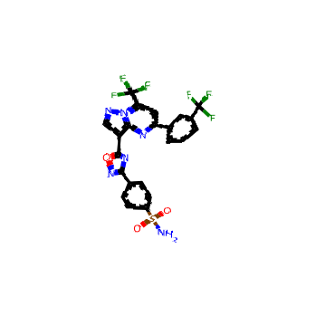 NS(=O)(=O)c1ccc(-c2noc(-c3cnn4c(C(F)(F)F)cc(-c5cccc(C(F)(F)F)c5)nc34)n2)cc1